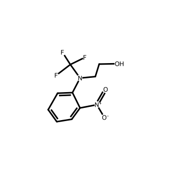 O=[N+]([O-])c1ccccc1N(CCO)C(F)(F)F